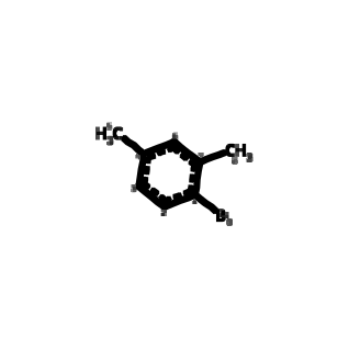 [B]c1ccc(C)cc1C